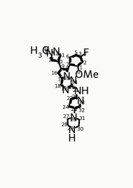 COc1cc(F)ccc1-c1c(-c2cnn(C)c2)cc2cnc(Nc3ccc(N4CCNCC4)cn3)nn12